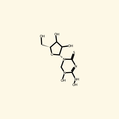 OC[C@H]1O[C@@H](N2CN(O)C(NO)=NC2=S)C(O)C1O